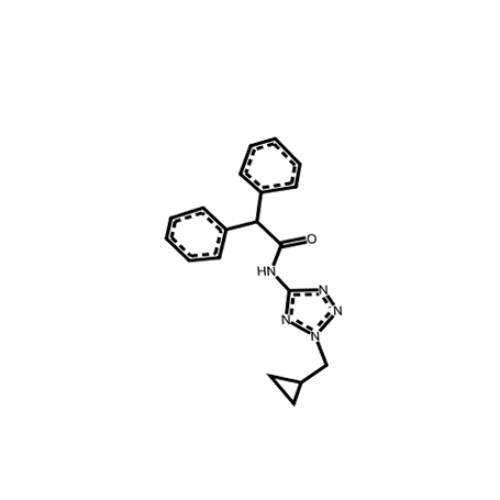 O=C(Nc1nnn(CC2CC2)n1)C(c1ccccc1)c1ccccc1